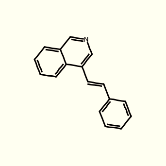 C(=Cc1cncc2ccccc12)c1ccccc1